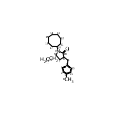 Cc1ccc(CC2CCN(C3[CH]CCCCCC3)C2=O)cc1.[CH2].[CH2]